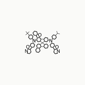 CC(C)c1ccc(N(c2ccc3c(c2)C2(c4ccccc4-c4c2ccc2ccccc42)c2cc(N(c4ccc(C(C)(C)C)cc4)c4ccc5c(c4)oc4ncccc45)c4c(oc5ccccc54)c2-3)c2ccc3c(c2)oc2ncccc23)cc1